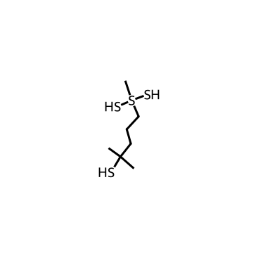 CC(C)(S)CCCS(C)(S)S